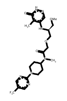 COC[C@@H](COCC(=O)N(C)C1CCN(c2ncc(C(F)(F)F)cn2)CC1)Nc1cn[nH]c(=O)c1C